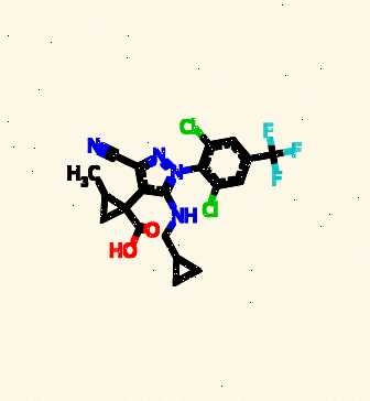 CC1CC1(C(=O)O)c1c(C#N)nn(-c2c(Cl)cc(C(F)(F)F)cc2Cl)c1NCC1CC1